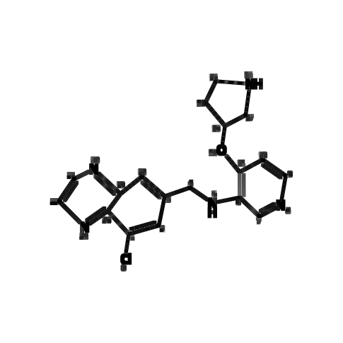 Clc1cc(CNc2cnccc2OC2CCNC2)cc2nccnc12